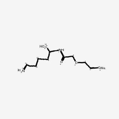 COCCOCC(=O)NC(CCCCN)C(=O)O